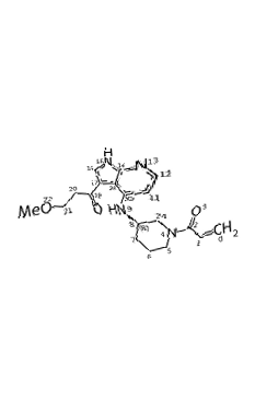 C=CC(=O)N1CCC[C@@H](Nc2ccnc3[nH]cc(C(=O)CCOC)c23)C1